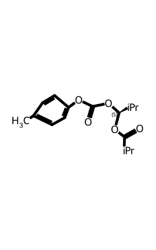 Cc1ccc(OC(=O)O[C@H](OC(=O)C(C)C)C(C)C)cc1